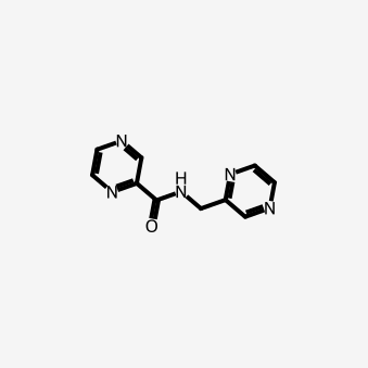 O=C(NCc1cnccn1)c1cnccn1